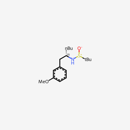 [CH2]C(C)(C)[S+]([O-])N[C@@H](CCCC)Cc1cccc(OC)c1